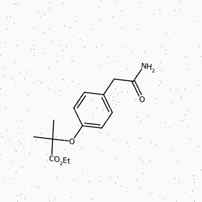 CCOC(=O)C(C)(C)Oc1ccc(CC(N)=O)cc1